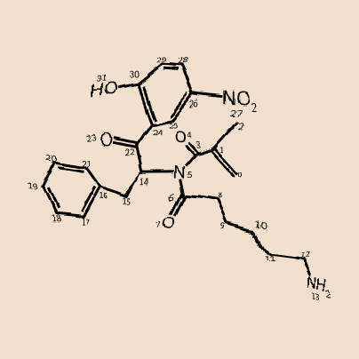 C=C(C)C(=O)N(C(=O)CCCCCN)[C@@H](Cc1ccccc1)C(=O)c1cc([N+](=O)[O-])ccc1O